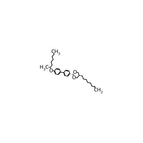 C=CCCCCCC[C@H]1CO[C@H](c2ccc(-c3ccc(O[C@@H](C)CCCCCC)cc3)cc2)OC1